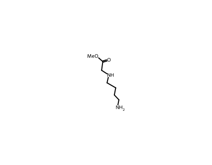 COC(=O)CNCCCCN